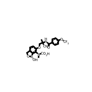 CN(C(=O)O)c1c(OCC(C)(C#N)NC(=O)c2ccc(OC(F)(F)F)cc2)ccc2c1B(O)OC2